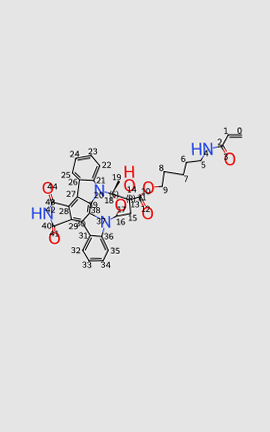 C=CC(=O)NCCCCCOC(=O)[C@@]1(O)CC2O[C@]1(C)n1c3ccccc3c3c4c(c5c6ccccc6n2c5c31)C(=O)NC4=O